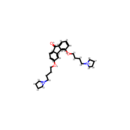 O=C1c2ccc(OCCCCN3CCCC3)cc2-c2c(OCCCCN3CCCC3)cccc21